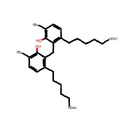 CCCCCCCCCCCCCCCc1ccc(C(C)(C)C)c(O)c1Cc1c(CCCCCCCCCCCCCCC)ccc(C(C)(C)C)c1O